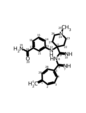 C=C1C=CC=C(C(=N)NC(=N)C2(Nc3cccc(C(N)=O)c3)CCN(C)CC2)C=C1